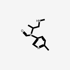 CNCC(C)N(C=O)c1ccc(C)nc1